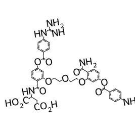 N=C(N)Nc1ccc(C(=O)Oc2ccc(C(=O)N[C@@H](CC(=O)O)C(=O)O)c(OCCOCCOc3cc(OC(=O)c4ccc(N)cc4)ccc3C(N)=O)c2)cc1